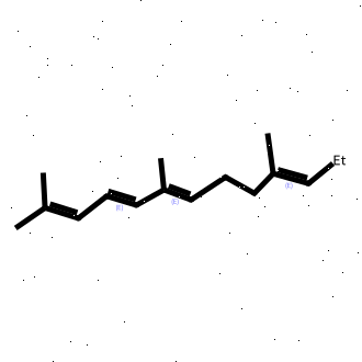 [CH2]C/C=C(\C)CC/C=C(C)/C=C/C=C(C)C